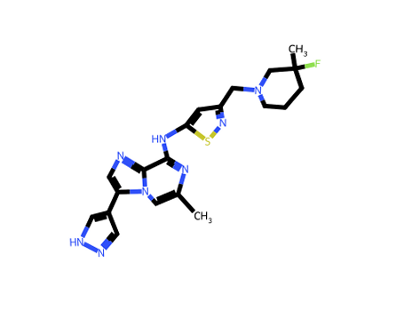 Cc1cn2c(-c3cn[nH]c3)cnc2c(Nc2cc(CN3CCCC(C)(F)C3)ns2)n1